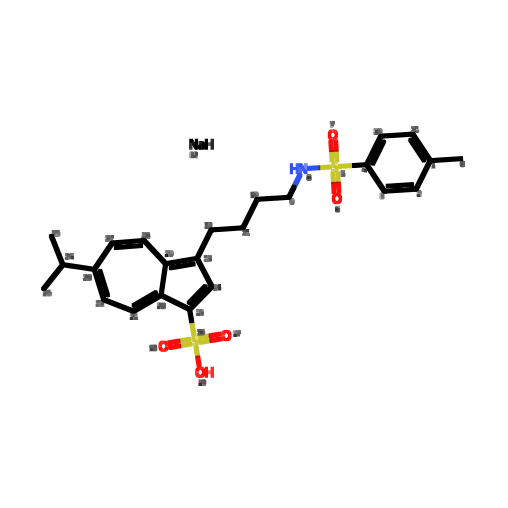 Cc1ccc(S(=O)(=O)NCCCCc2cc(S(=O)(=O)O)c3ccc(C(C)C)ccc2-3)cc1.[NaH]